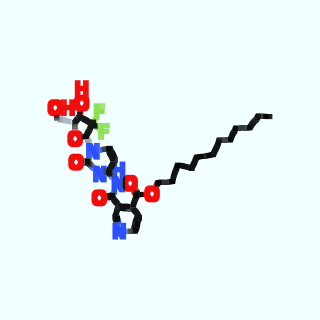 CCCCCCCCCCCCOC(=O)c1ccncc1C(=O)Nc1ccn([C@@H]2O[C@H](CO)[C@@H](O)C2(F)F)c(=O)n1